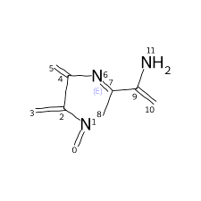 C=NC(=C)C(=C)/N=C(\C)C(=C)N